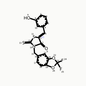 O=C1/C(=C/c2cccc(O)c2)SC(=S)N1Cc1ccc2c(c1)OC(F)(F)O2